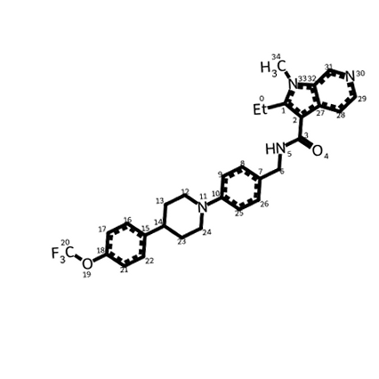 CCc1c(C(=O)NCc2ccc(N3CCC(c4ccc(OC(F)(F)F)cc4)CC3)cc2)c2ccncc2n1C